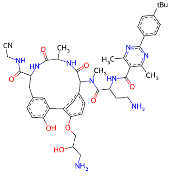 Cc1nc(-c2ccc(C(C)(C)C)cc2)nc(C)c1C(=O)NC(CCN)C(=O)N(C)C1C(=O)NC(C)C(=O)NC(C(=O)NCC#N)Cc2ccc(O)c(c2)-c2cc1ccc2OCC(O)CN